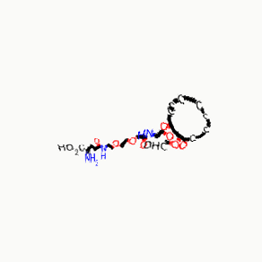 N[C@@H](CCC(=O)NCCOCCOCC(=O)NCCOC1C(=O)CCCCCCCCCCCCCCCCC(=O)C1OC[C]=O)C(=O)O